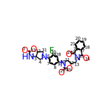 O=C1NC2CN(c3ccc(N4CC(CN5C(=O)c6ccccc6C5=O)OC4=O)cc3F)CC2O1